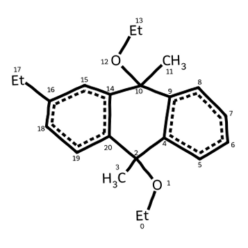 CCOC1(C)c2ccccc2C(C)(OCC)c2cc(CC)ccc21